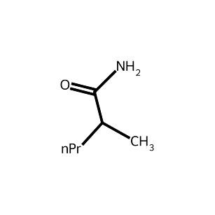 [CH2]CCC(C)C(N)=O